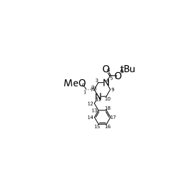 COC[C@@H]1CN(C(=O)OC(C)(C)C)CCN1Cc1ccccc1